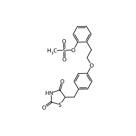 CS(=O)(=O)Oc1ccccc1CCOc1ccc(CC2SC(=O)NC2=O)cc1